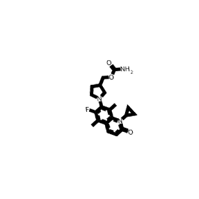 Cc1c(F)c(N2CCC(COC(N)=O)C2)c(C)c2c1ccc(=O)n2C1CC1